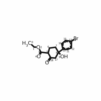 CCOC(=O)C1CCC(O)(c2ccc(Br)cc2)CC1=O